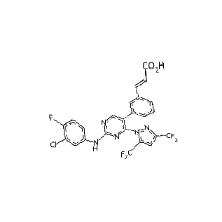 O=C(O)/C=C/c1cccc(-c2cnc(Nc3ccc(F)c(Cl)c3)nc2-n2nc(C(F)(F)F)cc2C(F)(F)F)c1